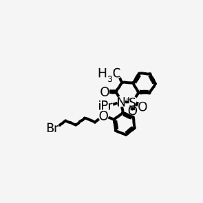 CC1C(=O)[N+](c2ccccc2OCCCCBr)(C(C)C)S(=O)(=O)c2ccccc21